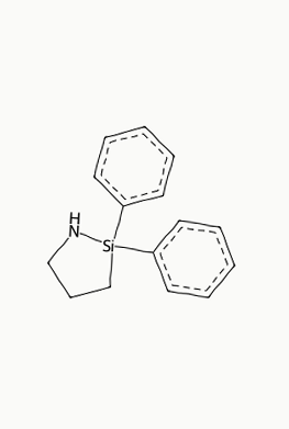 c1ccc([Si]2(c3ccccc3)CCCN2)cc1